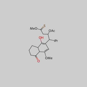 COC(=S)CC(OC(C)=O)C(C1=C(O)C2CCCC(=O)C2C(OC)=C1)C(C)C